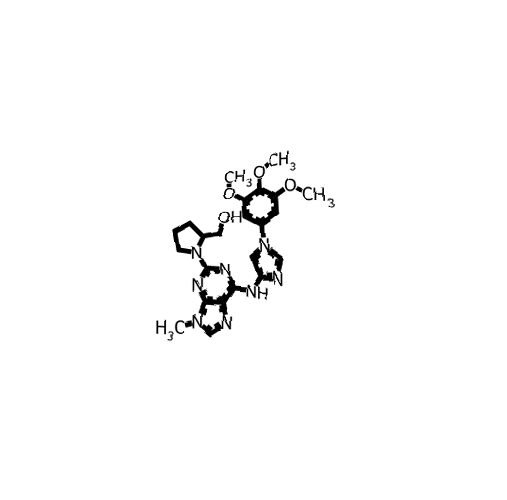 COc1cc(-n2cnc(Nc3nc(N4CCCC4CO)nc4c3ncn4C)c2)cc(OC)c1OC